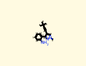 Cn1cc(C#CC(C)(C)C)c(-c2ccccc2N)n1